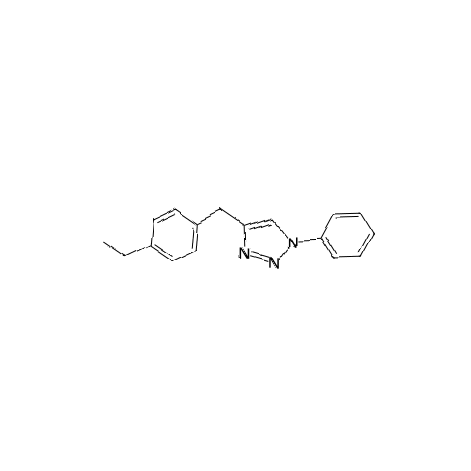 CCc1ccc(Cc2cn(-c3ccccc3)nn2)cc1